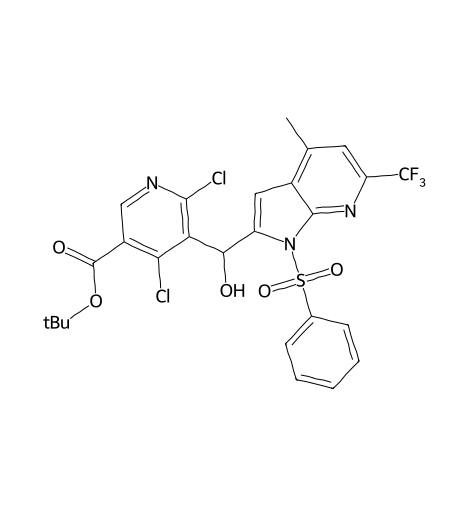 Cc1cc(C(F)(F)F)nc2c1cc(C(O)c1c(Cl)ncc(C(=O)OC(C)(C)C)c1Cl)n2S(=O)(=O)c1ccccc1